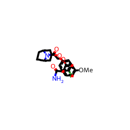 COc1ccc(C(N)=O)c(OCC(=O)N2C3CCC2CC(Oc2ccc(F)cc2)C3)c1